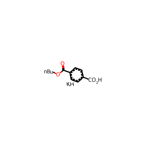 CCCCOC(=O)c1ccc(C(=O)O)cc1.[KH]